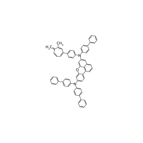 C=C1C=CC=C(c2ccc(N(c3ccc(-c4ccccc4)cc3)c3cc4c5c(cccc5c3)-c3ccc(N(c5ccc(-c6ccccc6)cc5)c5ccc(-c6ccccc6)cc5)cc3O4)cc2)C=C1C